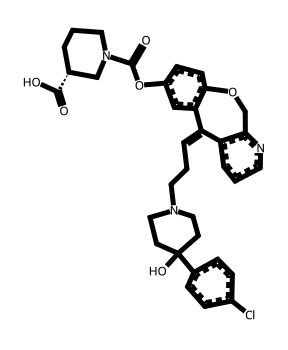 O=C(O)[C@@H]1CCCN(C(=O)Oc2ccc3c(c2)/C(=C/CCN2CCC(O)(c4ccc(Cl)cc4)CC2)c2cccnc2CO3)C1